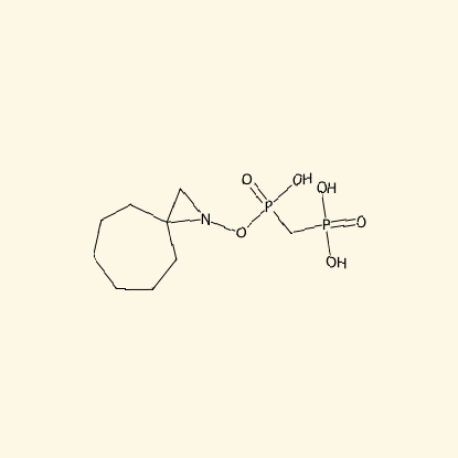 O=P(O)(O)CP(=O)(O)ON1CC12CCCCCC2